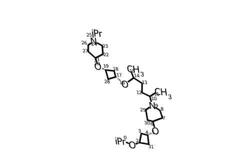 CC(C)O[C@H]1C[C@H](OC2CCN(C(C)CCC(C)O[C@H]3C[C@@H](OC4CCN(C(C)C)CC4)C3)CC2)C1